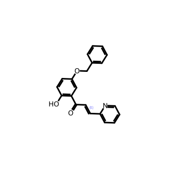 O=C(/C=C/c1ccccn1)c1cc(OCc2ccccc2)ccc1O